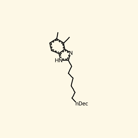 CCCCCCCCCCCCCCCCc1nc2c(C)c(C)ccc2[nH]1